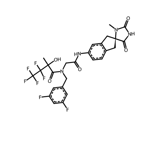 CN1C(=O)NC(=O)[C@@]12Cc1ccc(NC(=O)CN(Cc3cc(F)cc(F)c3)C(=O)C(C)(O)C(F)(F)C(F)(F)F)cc1C2